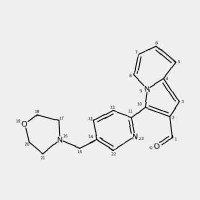 O=Cc1cc2ccccn2c1-c1ccc(CN2CCOCC2)cn1